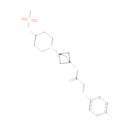 CS(=O)(=O)OC1CCN(C23CC(NC(=O)COc4ccc(Cl)cc4)(C2)C3)CC1